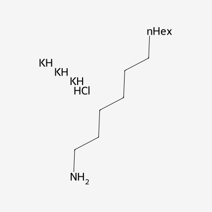 CCCCCCCCCCCCN.Cl.[KH].[KH].[KH]